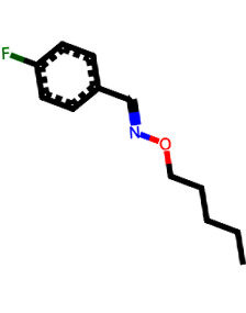 CCCCCO/N=[C]/c1ccc(F)cc1